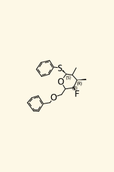 CC1[C@@H](C)[C@@H](F)C(COCc2ccccc2)O[C@H]1Sc1ccccc1